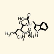 CC(C)C[C@H](N[PH](=O)O)C(=O)N[C@@H](Cc1c[nH]c2ccccc12)C(=O)O